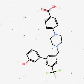 O=C(O)c1ccc(N2CCN(Cc3cc(-c4cccc(O)c4)cc(C(F)(F)F)c3)CC2)cc1